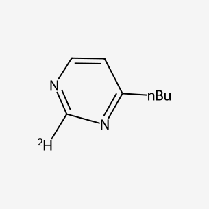 [2H]c1nccc(CCCC)n1